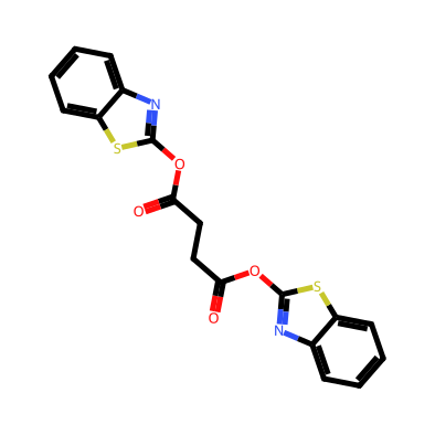 O=C(CCC(=O)Oc1nc2ccccc2s1)Oc1nc2ccccc2s1